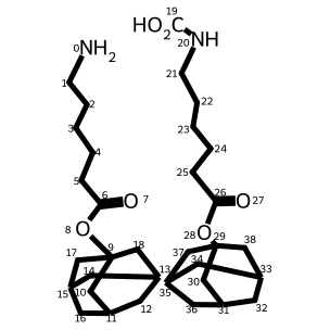 NCCCCCC(=O)OC12CC3CC(CC(C3)C1)C2.O=C(O)NCCCCCC(=O)OC12CC3CC(CC(C3)C1)C2